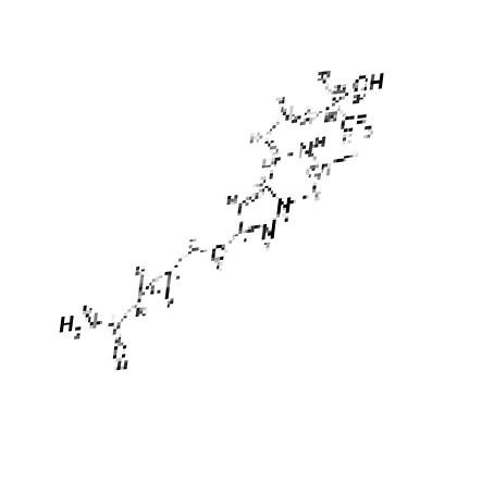 C[C@H]1Cn2nc(OCC34CC(C(N)=O)(C3)C4)cc2-c2cnc([C@@](C)(O)C(F)(F)F)n21